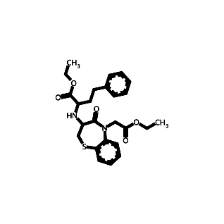 CCOC(=O)CN1C(=O)C(NC(CCc2ccccc2)C(=O)OCC)CSc2ccccc21